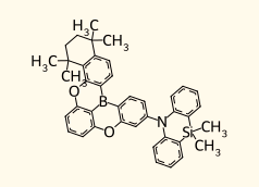 CC1(C)CCC(C)(C)c2c1ccc1c2Oc2cccc3c2B1c1ccc(N2c4ccccc4[Si](C)(C)c4ccccc42)cc1O3